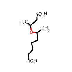 CCCCCCCCCCCCC(C)OC(C)CS(=O)(=O)O